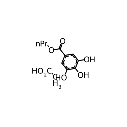 CC(=O)O.CCCOC(=O)c1cc(O)c(O)c(O)c1